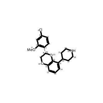 COc1cc(Cl)ccc1[C@H]1COc2cccc(C3CCNCC3)c2O1